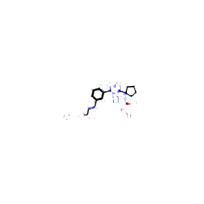 COC(=O)/C=C/c1cccc(C2NN=C(C3(NC(=O)OC(C)(C)C)CCCC3)N2)c1